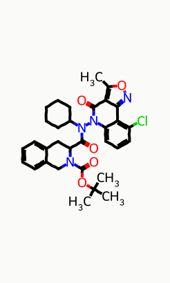 Cc1onc2c1c(=O)n(N(C(=O)C1Cc3ccccc3CN1C(=O)OC(C)(C)C)C1CCCCC1)c1cccc(Cl)c21